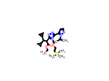 CCOC(=O)C(c1nnc(-c2ccnn2C(C)C)n1COCCS(C)(C)C)C(C1CC1)C1CC1